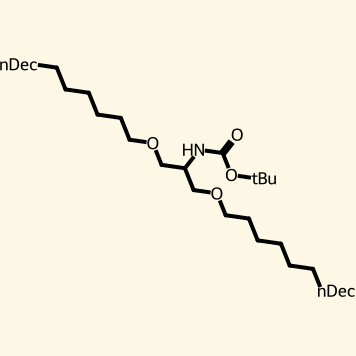 CCCCCCCCCCCCCCCCOCC(COCCCCCCCCCCCCCCCC)NC(=O)OC(C)(C)C